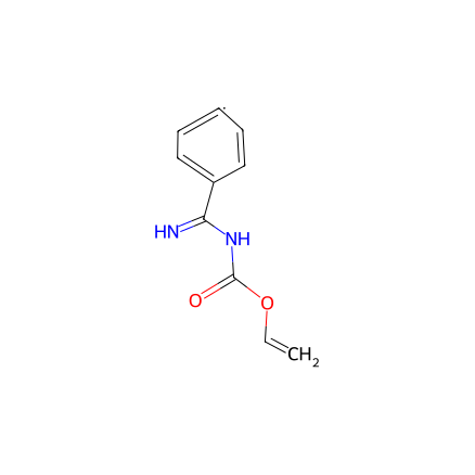 C=COC(=O)NC(=N)c1cc[c]cc1